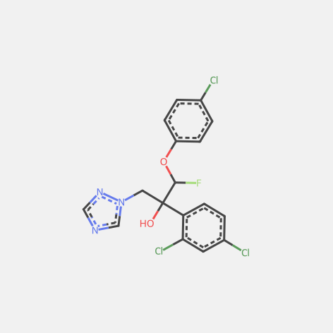 OC(Cn1cncn1)(c1ccc(Cl)cc1Cl)C(F)Oc1ccc(Cl)cc1